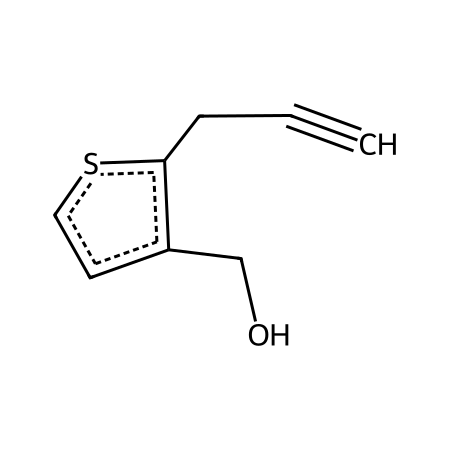 C#CCc1sccc1CO